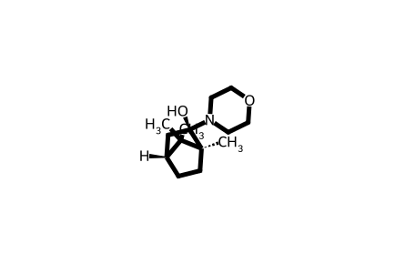 CC1(C)[C@@H]2CC[C@]1(C)[C@@](O)(N1CCOCC1)C2